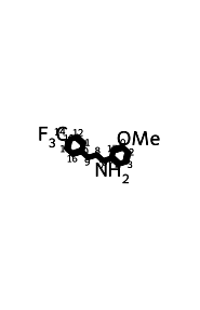 COc1cccc(C(N)CCc2ccc(C(F)(F)F)cc2)c1